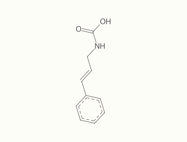 O=C(O)NCC=Cc1ccccc1